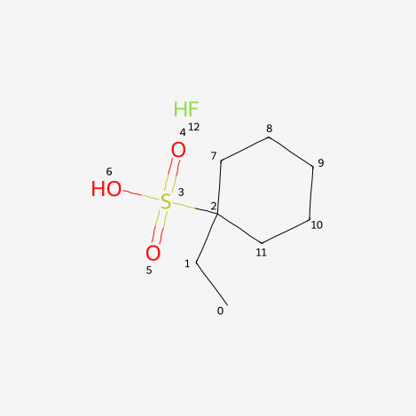 CCC1(S(=O)(=O)O)CCCCC1.F